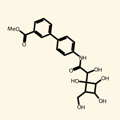 COC(=O)c1cccc(-c2ccc(NC(=O)C(O)C3(O)C(O)C(O)C3CO)cc2)c1